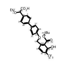 CCOC(C(=O)O)c1ccc(-c2ccc(OCc3ccc(C(F)(F)F)c(O)c3C(=O)OC(C)(C)C)cc2)cc1